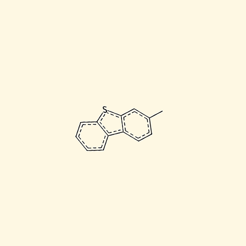 Cc1ccc2c(c1)sc1ccccc12